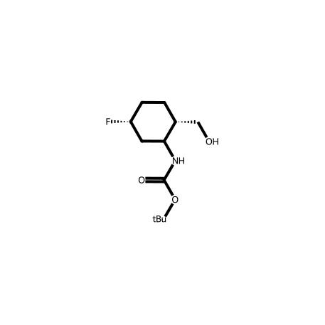 CC(C)(C)OC(=O)NC1C[C@H](F)CC[C@@H]1CO